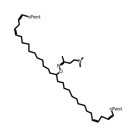 CCCCC/C=C\C/C=C\CCCCCCCCCCC(CCCCCCCCCC/C=C\C/C=C\CCCCC)ON=C(C)CCN(C)C